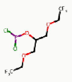 FC(F)(F)COCC(COCC(F)(F)F)OP(Cl)Cl